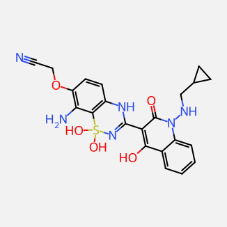 N#CCOc1ccc2c(c1N)S(O)(O)N=C(c1c(O)c3ccccc3n(NCC3CC3)c1=O)N2